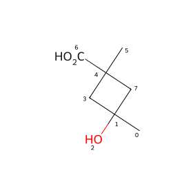 CC1(O)CC(C)(C(=O)O)C1